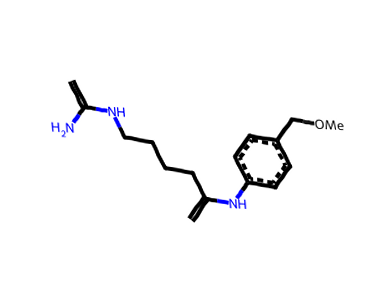 C=C(N)NCCCCC(=C)Nc1ccc(COC)cc1